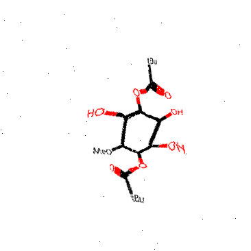 COC1C(O)C(OC(=O)C(C)(C)C)C(O)C(O)C1OC(=O)C(C)(C)C